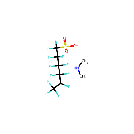 CNC.O=S(=O)(O)C(F)(F)C(F)(F)C(F)(F)C(F)(F)C(F)C(F)(F)F